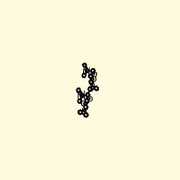 c1ccc(-c2nc(-c3ccccc3)nc(-c3cc(-c4ccc5c(c4)c4ccccc4n5-c4ccc5c(c4)oc4c5ccc5c4oc4cccc(-c6nc(-c7ccccc7)nc(-c7ccccc7)n6)c45)cc4oc5cc6c(cc5c34)oc3cc(-n4c5ccccc5c5ccccc54)ccc36)n2)cc1